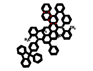 Cc1cccc(C)c1N(c1ccc(C2(c3ccccc3)c3ccccc3-c3ccccc32)cc1)c1cc(-c2ccccc2)c2ccc3c(N(c4cccc(-c5ccccc5-c5ccccc5-c5ccccc5)c4)c4c(C)cccc4C)cc(-c4ccccc4)c4ccc1c2c43